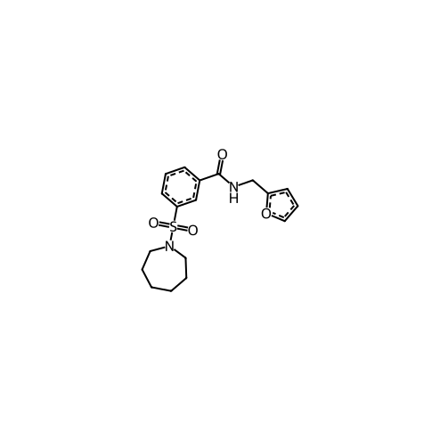 O=C(NCc1ccco1)c1cccc(S(=O)(=O)N2CCCCCC2)c1